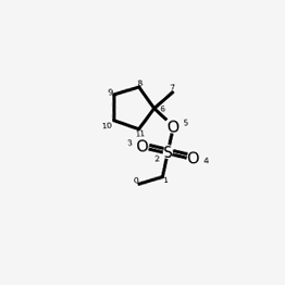 CCS(=O)(=O)OC1(C)CCCC1